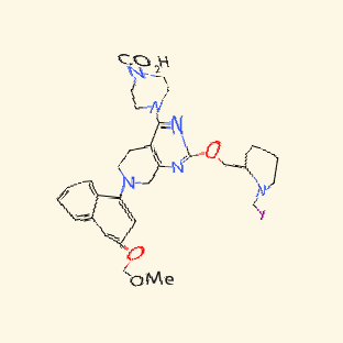 COCOc1cc(N2CCc3c(nc(OCC4CCCN4CI)nc3N3CCN(C(=O)O)CC3)C2)c2ccccc2c1